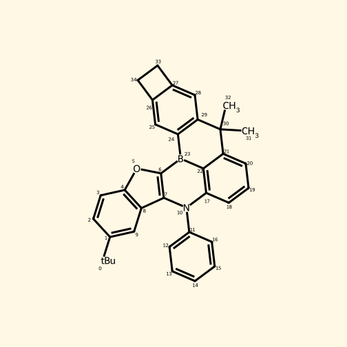 CC(C)(C)c1ccc2oc3c(c2c1)N(c1ccccc1)c1cccc2c1B3c1cc3c(cc1C2(C)C)CC3